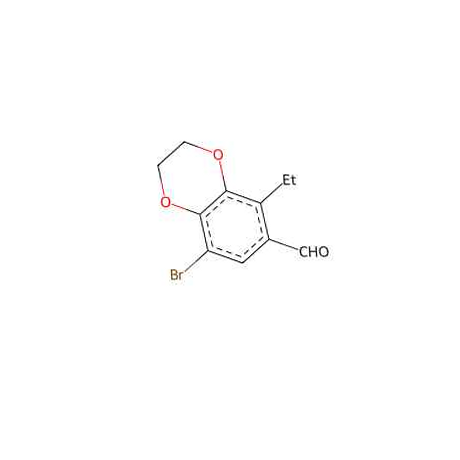 CCc1c(C=O)cc(Br)c2c1OCCO2